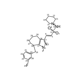 Cn1nc(/C=C/S(=O)(=O)NN2CCCCC2)c2c1C(Cc1cccc(F)c1)CCCC2